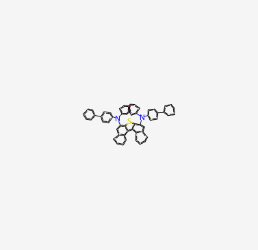 c1ccc(-c2ccc(N(c3ccccc3)c3cc4ccccc4c4c3sc3c(N(c5ccccc5)c5ccc(-c6ccccc6)cc5)cc5ccccc5c34)cc2)cc1